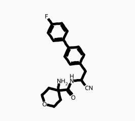 N#CC(Cc1ccc(-c2ccc(F)cc2)cc1)NC(=O)C1(N)CCOCC1